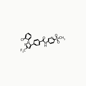 CS(=O)(=O)c1ccc(NC(=O)c2ccc(-c3cc(C(F)(F)F)nn3-c3ccccc3Cl)cc2)cn1